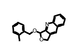 Cc1ccccc1COC1OCc2cc3ccccc3nc21